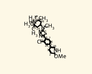 COC1C=CC(c2ccc(-c3nnc(N(C)C4CC(C)(C)NC(C)(C)C4)s3)c(Cl)c2)=CN1